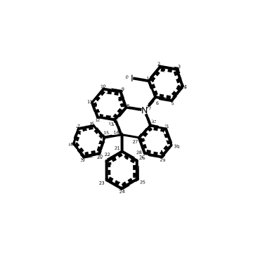 Ic1ccccc1N1c2ccccc2C(c2ccccc2)(c2ccccc2)c2ccccc21